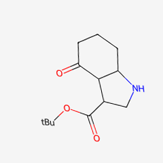 CC(C)(C)OC(=O)C1CNC2CCCC(=O)C21